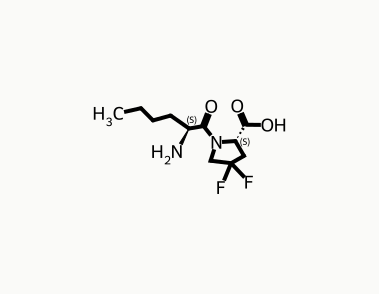 CCCC[C@H](N)C(=O)N1CC(F)(F)C[C@H]1C(=O)O